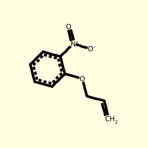 C=CCOc1ccccc1[N+](=O)[O-]